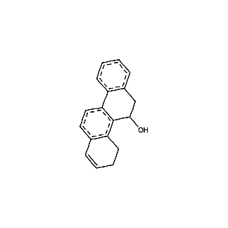 OC1Cc2ccccc2-c2ccc3c(c21)CCC=C3